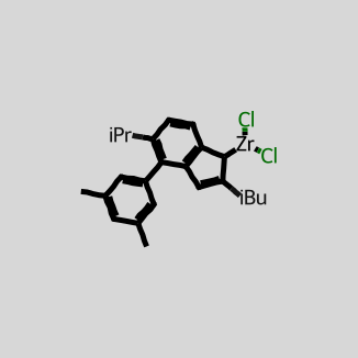 CCC(C)C1=Cc2c(ccc(C(C)C)c2-c2cc(C)cc(C)c2)[CH]1[Zr]([Cl])[Cl]